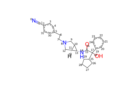 N#Cc1ccc(CCN2CC3[C@H](C2)[C@H]3NC(=O)C(O)(c2ccccc2)C2CCCC2)cc1